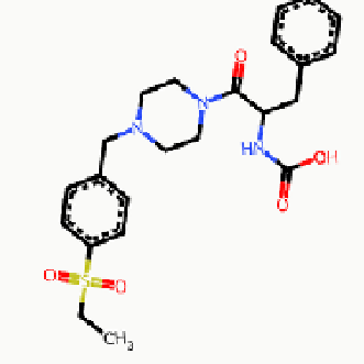 CCS(=O)(=O)c1ccc(CN2CCN(C(=O)C(Cc3ccccc3)NC(=O)O)CC2)cc1